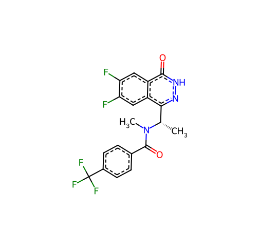 C[C@@H](c1n[nH]c(=O)c2cc(F)c(F)cc12)N(C)C(=O)c1ccc(C(F)(F)F)cc1